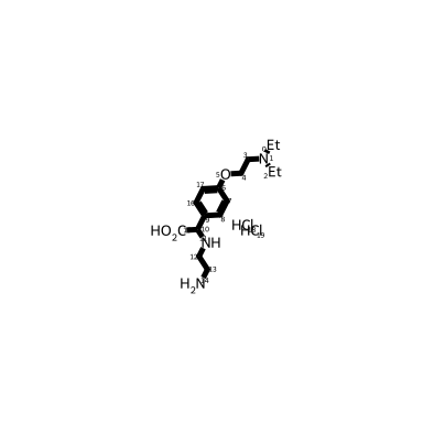 CCN(CC)CCOc1ccc(C(NCCN)C(=O)O)cc1.Cl.Cl